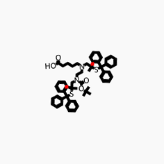 CC(C)(C)OC(=O)N(CCN(CCCCC(=O)O)CC(C)(C)SC(c1ccccc1)(c1ccccc1)c1ccccc1)CC(C)(C)SC(c1ccccc1)(c1ccccc1)c1ccccc1